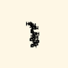 O=C(CCN1C(=O)C=CC1=O)NCC(O)COCC(O)CNO